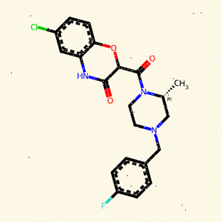 C[C@@H]1CN(Cc2ccc(F)cc2)CCN1C(=O)C1Oc2ccc(Cl)cc2NC1=O